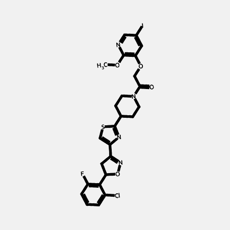 COc1ncc(I)cc1OCC(=O)N1CCC(c2nc(C3=NOC(c4c(F)cccc4Cl)C3)cs2)CC1